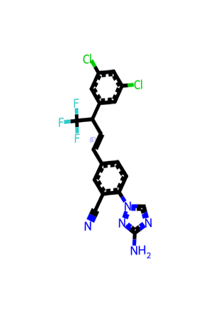 N#Cc1cc(/C=C/C(c2cc(Cl)cc(Cl)c2)C(F)(F)F)ccc1-n1cnc(N)n1